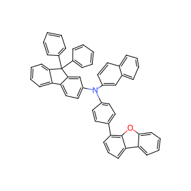 c1ccc(C2(c3ccccc3)c3ccccc3-c3ccc(N(c4ccc(-c5cccc6c5oc5ccccc56)cc4)c4ccc5ccccc5c4)cc32)cc1